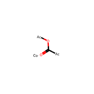 CC(=O)OC(=O)C(C)=O.[Co]